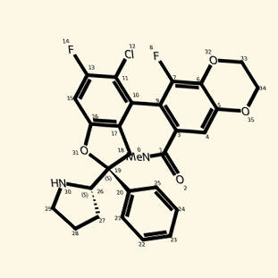 CNC(=O)c1cc2c(c(F)c1-c1c(Cl)c(F)cc3c1C[C@](c1ccccc1)([C@@H]1CCCN1)O3)OCCO2